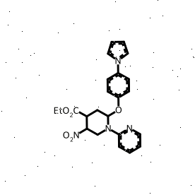 CCOC(=O)C1CC(Oc2ccc(-n3cccc3)cc2)N(c2ccccn2)CC1[N+](=O)[O-]